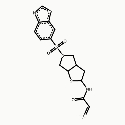 C=CC(=O)NC1CC2CN(S(=O)(=O)c3ccc4ncsc4c3)CC2S1